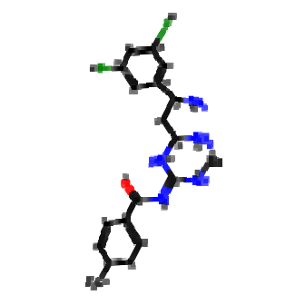 CCC(C)N/C(=N/C(=O)c1ccc(C(F)(F)F)cc1)NC(N)CC(N)c1cc(F)cc(F)c1